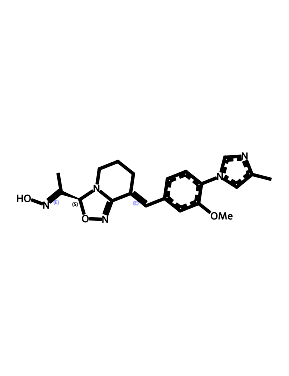 COc1cc(/C=C2\CCCN3C2=NO[C@H]3/C(C)=N/O)ccc1-n1cnc(C)c1